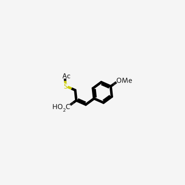 COc1ccc(C=C(CSC(C)=O)C(=O)O)cc1